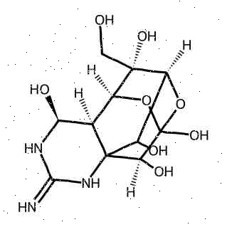 N=C1N[C@@H](O)[C@H]2[C@@H]3OC4(O)O[C@@H](C(O)C2(N1)[C@@H]4O)[C@]3(O)CO